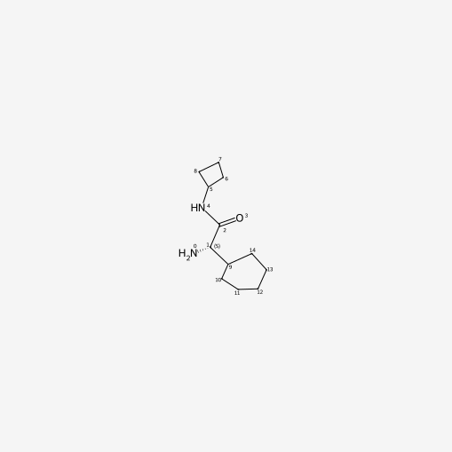 N[C@H](C(=O)NC1CCC1)C1CCCCC1